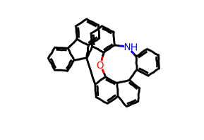 c1ccc2c(c1)Nc1cccc3c1Oc1c(ccc4cccc-2c14)C31c2ccccc2-c2ccccc21